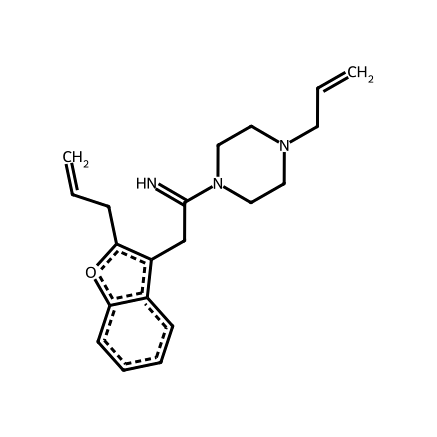 C=CCc1oc2ccccc2c1CC(=N)N1CCN(CC=C)CC1